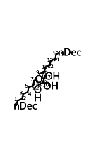 CCCCCCCCCCCCCCCCCOCCCCCCCCCCCCCCCCC.OCC(O)CO